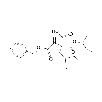 CCC(CC)CC(NC(=O)OCc1ccccc1)(C(=O)O)C(=O)OC(C)CC